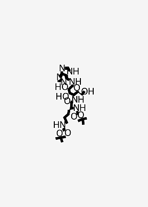 CC(C)(C)OC(=O)NCCCC[C@H](NC(=O)OC(C)(C)C)C(=O)N[C@@H]1[C@@H](O)[C@H](O)[C@@H](Nc2ncnc3nc[nH]c23)O[C@H]1CO